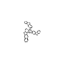 C1=CC(N(c2ccc3oc4ccccc4c3c2)c2ccc3sc4ccccc4c3c2)Nc2c1sc1cc3ccccc3cc21